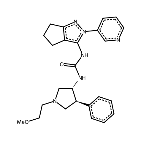 COCCN1C[C@H](NC(=O)Nc2c3c(nn2-c2cccnc2)CCC3)[C@@H](c2ccccc2)C1